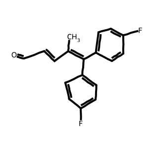 CC(C=CC=O)=C(c1ccc(F)cc1)c1ccc(F)cc1